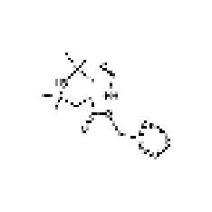 CC(=O)NC1(C(=O)OCc2ccccc2)CC(C)(C)NC(C)(C)C1